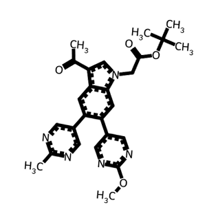 COc1ncc(-c2cc3c(cc2-c2cnc(C)nc2)c(C(C)=O)cn3CC(=O)OC(C)(C)C)cn1